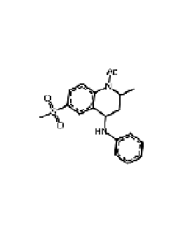 CC(=O)N1c2ccc(S(C)(=O)=O)cc2C(Nc2ccccc2)CC1C